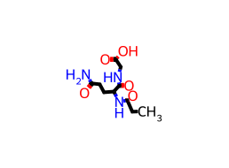 CCC(=O)NC(CCC(N)=O)C(=O)NCC(=O)O